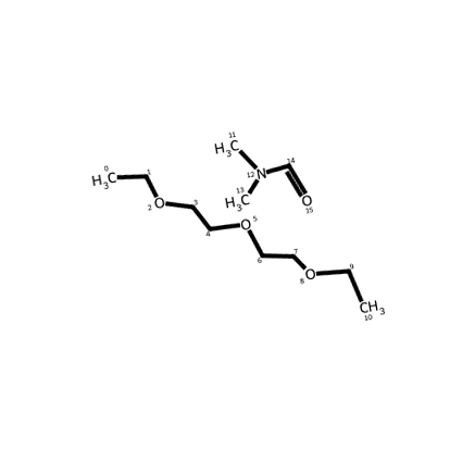 CCOCCOCCOCC.CN(C)C=O